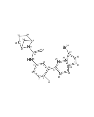 Cc1ccc(NC(=O)N2C3CCCC2C3)cc1-c1ncc2ccc(Br)n2n1